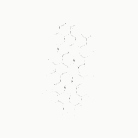 Cc1cc2c3c(=O)ccc(=O)c3c3ccc4c5c(=O)c(=O)c6c7cc(C(=O)O)c8c(O)c(C)c9c(C)c(C)c(C)c%10c%11c(C)c(C)c%12c%13c(C)c(C)c%14c(c1C)c2c3c4c%14c%13c5c6c%12c%11c7c8c9%10